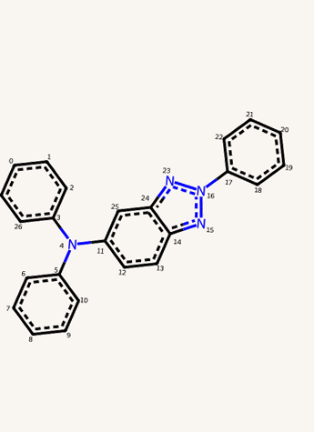 c1ccc(N(c2ccccc2)c2ccc3nn(-c4ccccc4)nc3c2)cc1